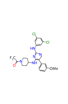 COc1cccc(-c2cnc(Nc3cc(Cl)cc(Cl)c3)nc2NC2CCN(C(=O)C(F)(F)F)CC2)c1